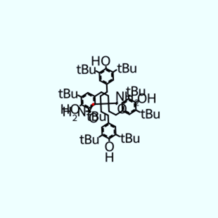 CC(C)(C)c1cc(CCC(CCc2cc(C(C)(C)C)c(O)c(C(C)(C)C)c2)(CC(N)=O)C(CCc2cc(C(C)(C)C)c(O)c(C(C)(C)C)c2)(CCc2cc(C(C)(C)C)c(O)c(C(C)(C)C)c2)C(N)=O)cc(C(C)(C)C)c1O